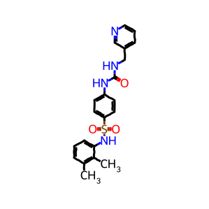 Cc1cccc(NS(=O)(=O)c2ccc(NC(=O)NCc3cccnc3)cc2)c1C